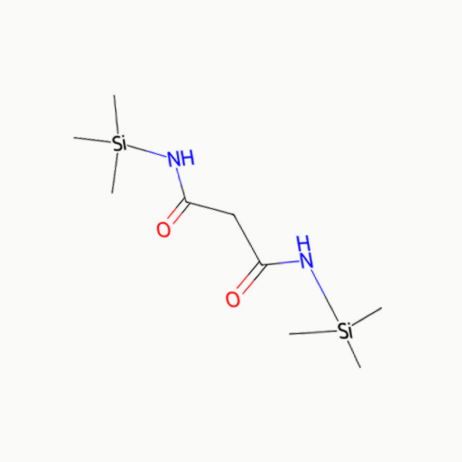 C[Si](C)(C)NC(=O)CC(=O)N[Si](C)(C)C